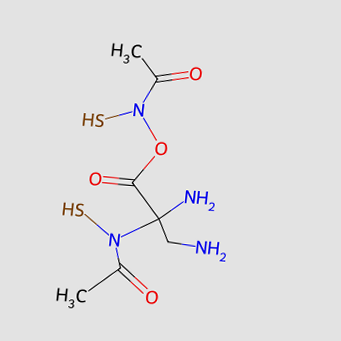 CC(=O)N(S)OC(=O)C(N)(CN)N(S)C(C)=O